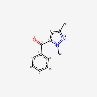 Cc1cc(C(=O)c2ccccc2)n(C)n1